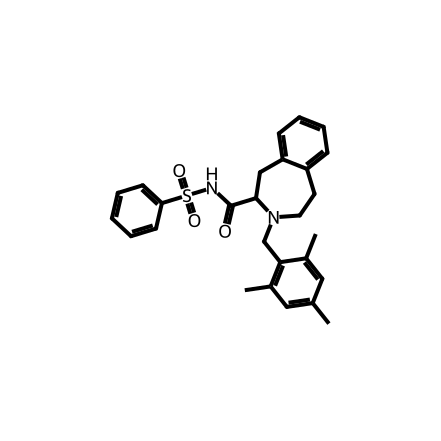 Cc1cc(C)c(CN2CCc3ccccc3CC2C(=O)NS(=O)(=O)c2ccccc2)c(C)c1